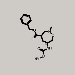 CN1CC(C(=O)OCc2ccccc2)C[C@H](NC(=O)OC(C)(C)C)CO1